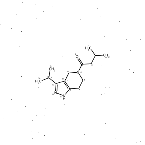 CC(C)CC(=O)N1CCc2[nH]nc(C(C)C)c2C1